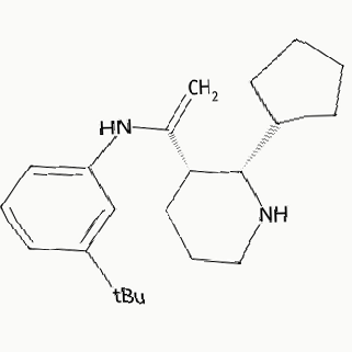 C=C(Nc1cccc(C(C)(C)C)c1)[C@H]1CCCN[C@H]1C1CCCC1